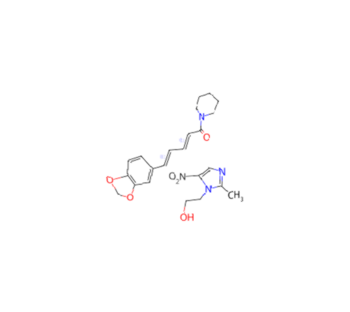 Cc1ncc([N+](=O)[O-])n1CCO.O=C(/C=C/C=C/c1ccc2c(c1)OCO2)N1CCCCC1